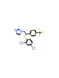 FC(F)(F)c1ccc(C(Cn2ccnc2)Sc2ccc(Cl)cc2Cl)cc1